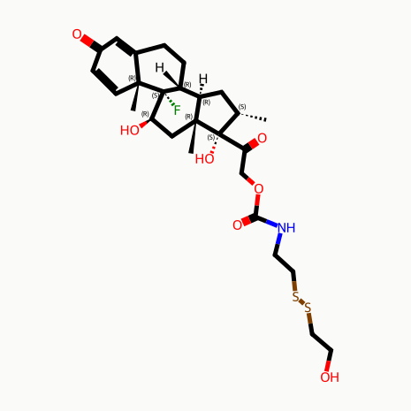 C[C@H]1C[C@@H]2[C@H]3CCC4=CC(=O)C=C[C@@]4(C)[C@]3(F)[C@H](O)C[C@@]2(C)[C@]1(O)C(=O)COC(=O)NCCSSCCO